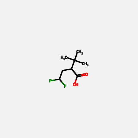 CC(C)(C)C(CC(F)F)C(=O)O